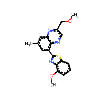 COCc1cnc2c(-c3nc4c(OC)cccc4s3)cc(C)cc2n1